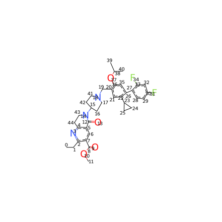 CCc1nc2c(cc1C(=O)OC)C(=O)N(C1CCN(Cc3cc(C4CC4)c(-c4ccc(F)cc4F)cc3OC(C)C)CC1)CC2